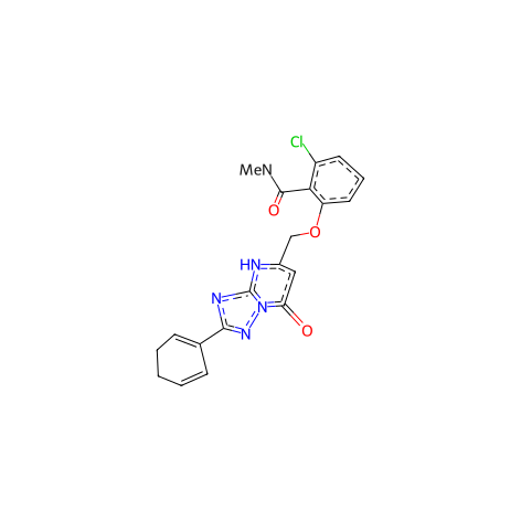 CNC(=O)c1c(Cl)cccc1OCc1cc(=O)n2nc(C3=CCCC=C3)nc2[nH]1